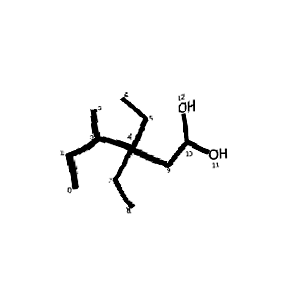 CCC(C)C(CC)(CC)CC(O)O